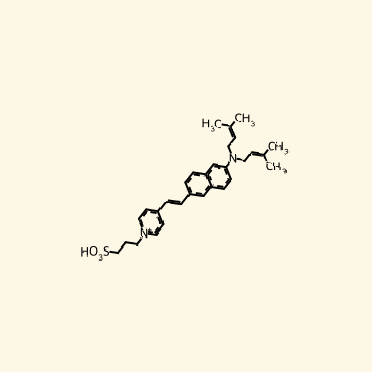 CC(C)=CCN(CC=C(C)C)c1ccc2cc(/C=C/c3cc[n+](CCCS(=O)(=O)O)cc3)ccc2c1